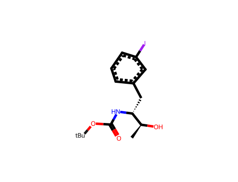 C[C@H](O)[C@@H](Cc1cccc(I)c1)NC(=O)OC(C)(C)C